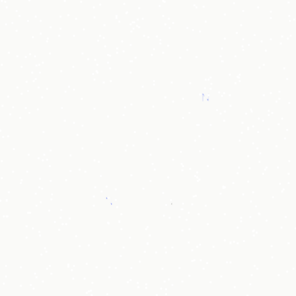 C=C/C(=C\C=C/C)N1c2ccccc2C2(c3ccccc3-c3ccc(N(c4ccccc4)c4ccc(-c5ccccc5)cc4)cc32)c2ccccc21